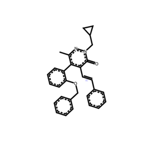 Cc1nn(CC2CC2)c(=O)c(/C=C/c2ccccc2)c1-c1ccccc1OCc1ccccc1